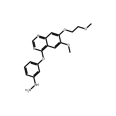 COCCOc1cc2ncnc(Oc3cccc(NN)c3)c2cc1OC